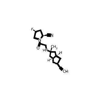 C#CC1C[C@@H]2C[C@@](C)(NCC(=O)N3C[C@@H](F)C[C@H]3C#N)C[C@@H]2C1